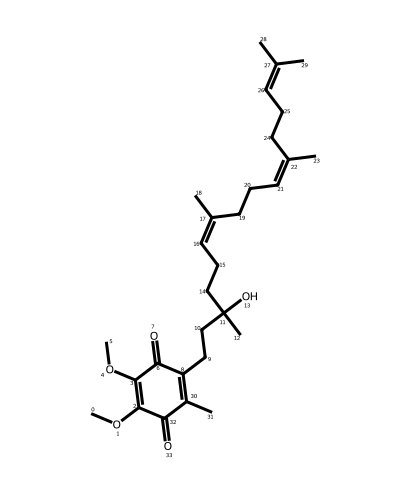 COC1=C(OC)C(=O)C(CCC(C)(O)CCC=C(C)CCC=C(C)CCC=C(C)C)=C(C)C1=O